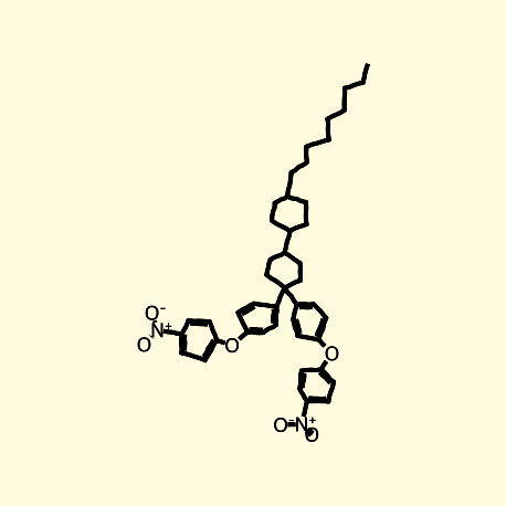 CCCCCCCCCC1CCC(C2CCC(c3ccc(Oc4ccc([N+](=O)[O-])cc4)cc3)(c3ccc(Oc4ccc([N+](=O)[O-])cc4)cc3)CC2)CC1